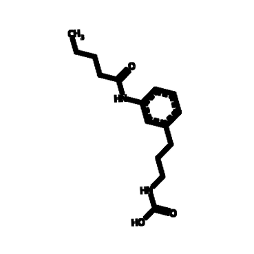 CCCCC(=O)Nc1cccc(CCCNC(=O)O)c1